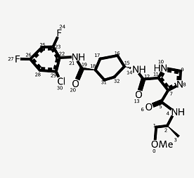 COC[C@H](C)NC(=O)c1nc[nH]c1C(=O)N[C@H]1CC[C@H](C(=O)Nc2c(F)cc(F)cc2Cl)CC1